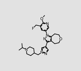 COc1ncc(-n2nc(-c3cnn(CC4CCN(C(C)C)CC4)c3)c3c2CCOCC3)cc1CF